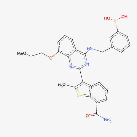 COCCOc1cccc2c(NCc3cccc(B(O)O)c3)nc(-c3c(C)sc4c(C(N)=O)cccc34)nc12